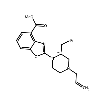 C=CCN1CCN(c2nc3c(C(=O)OC)cccc3o2)[C@@H](CC(C)C)C1